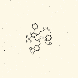 CCCCn1c(-c2ccccc2)nc(C(F)(F)F)c1CN(C)Cc1ccc2c(c1)OCO2.c1ccc2c(c1)CCO2